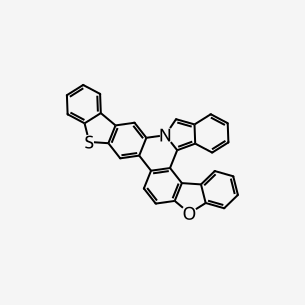 c1ccc2c(c1)cn1c3cc4c(cc3c3ccc5oc6ccccc6c5c3c21)sc1ccccc14